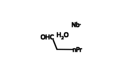 CCCCC=O.O.[Nb]